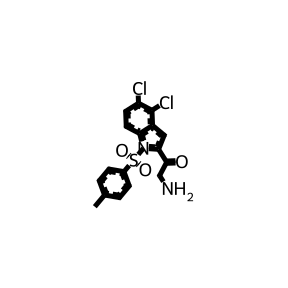 Cc1ccc(S(=O)(=O)n2c(C(=O)CN)cc3c(Cl)c(Cl)ccc32)cc1